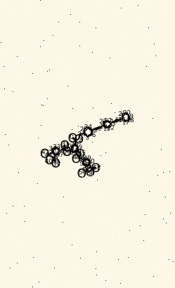 O=C(OCc1ccc(C#Cc2ccc(C#Cc3ccccc3)cc2)cc1)c1cc(OC(=O)c2ccc3c(c2)C(=O)OC3=O)cc(OC(=O)c2ccc3c(c2)C(=O)OC3=O)c1